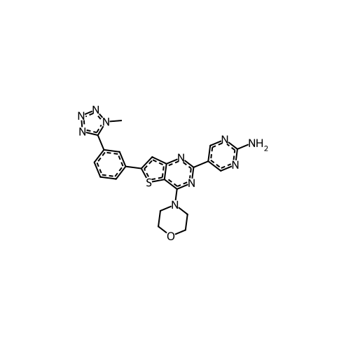 Cn1nnnc1-c1cccc(-c2cc3nc(-c4cnc(N)nc4)nc(N4CCOCC4)c3s2)c1